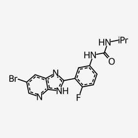 CC(C)NC(=O)Nc1ccc(F)c(-c2nc3cc(Br)cnc3[nH]2)c1